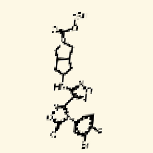 CC(C)(C)OC(=O)N1CC2CC(Nc3nonc3-c3noc(=O)n3-c3ccc(F)c(Br)c3)CC2C1